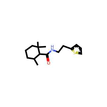 CC1CCCC(C)(C)C1C(=O)NCCc1cccs1